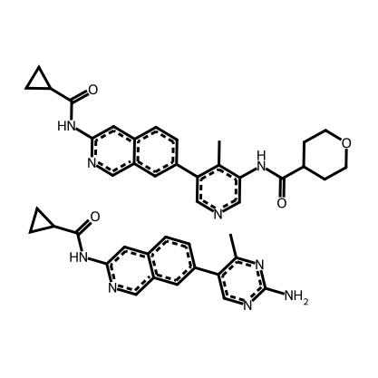 Cc1c(NC(=O)C2CCOCC2)cncc1-c1ccc2cc(NC(=O)C3CC3)ncc2c1.Cc1nc(N)ncc1-c1ccc2cc(NC(=O)C3CC3)ncc2c1